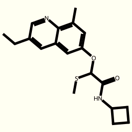 CCc1cnc2c(C)cc(OC(SC)C(=O)NC3CCC3)cc2c1